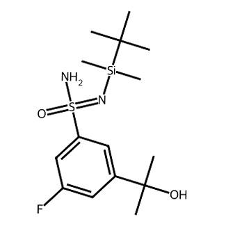 CC(C)(O)c1cc(F)cc(S(N)(=O)=N[Si](C)(C)C(C)(C)C)c1